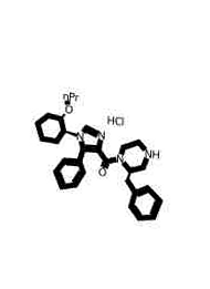 CCCO[C@H]1CCCC[C@@H]1n1cnc(C(=O)N2CCNC[C@H]2Cc2ccccc2)c1-c1ccccc1.Cl